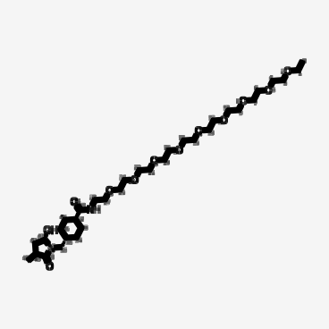 CCOCCOCCOCCOCCOCCOCCOCCOCCOCCNC(=O)[C@H]1CC[C@H](CN2C(=O)C(C)C[C@H]2O)CC1